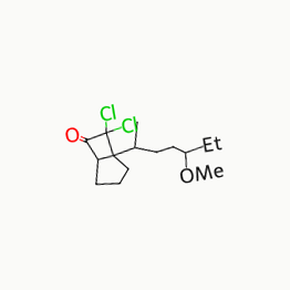 CCC(CCC(C)C12CCCC1C(=O)C2(Cl)Cl)OC